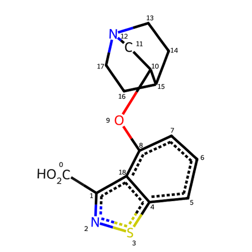 O=C(O)c1nsc2cccc(OC3CN4CCC3CC4)c12